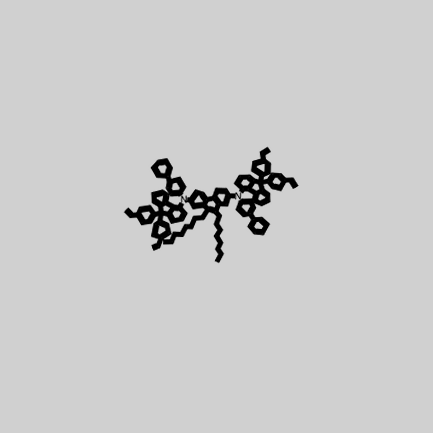 C=Cc1ccc(C2(c3ccc(C=C)cc3)c3ccccc3-c3c(N(c4ccc(-c5ccccc5)cc4)c4ccc5c(c4)c(CCCCCCCC)c(CCCCCCCC)c4cc(N(c6ccc(-c7ccccc7)cc6)c6cccc7c6-c6ccccc6C7(c6ccc(C=C)cc6)c6ccc(C=C)cc6)ccc45)cccc32)cc1